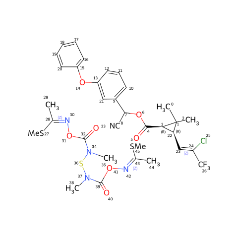 CC1(C)[C@H](C(=O)OC(C#N)c2cccc(Oc3ccccc3)c2)[C@@H]1/C=C(\Cl)C(F)(F)F.CS/C(C)=N\OC(=O)N(C)SN(C)C(=O)O/N=C(/C)SC